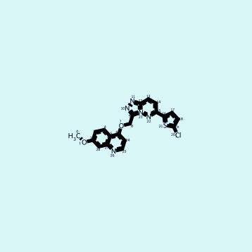 COc1ccc2c(OCc3nnc4ccc(-c5ccc(Cl)s5)nn34)ccnc2c1